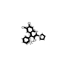 O=C(O)Oc1c(N2CCCC2)nc2cc(Cl)c(Cl)cc2c1-c1ccccc1